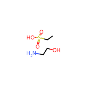 CCS(=O)(=O)O.NCCO